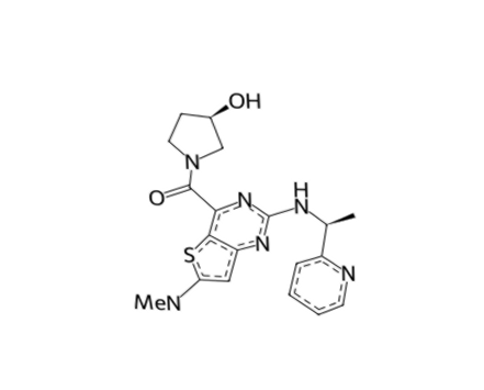 CNc1cc2nc(N[C@@H](C)c3ccccn3)nc(C(=O)N3CC[C@@H](O)C3)c2s1